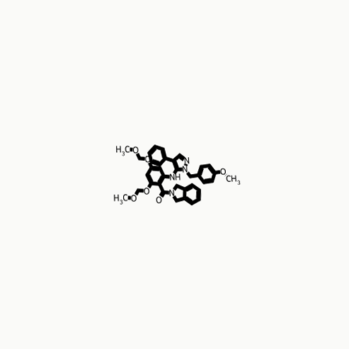 COCOc1cc(Nc2c(-c3ccccc3)cnn2Cc2ccc(OC)cc2)c(C(=O)N2Cc3ccccc3C2)c(OCOC)c1